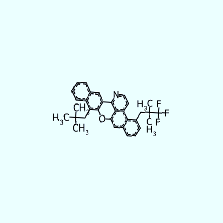 CC(C)(C)Cc1c2c(cc3ccccc13)-c1nccc3c1c(cc1cccc(CC(C)(C)C(F)(F)F)c13)O2